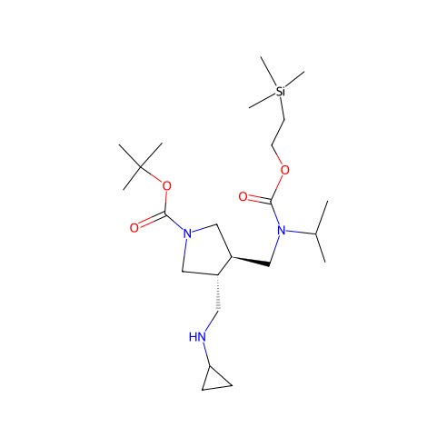 CC(C)N(C[C@@H]1CN(C(=O)OC(C)(C)C)C[C@H]1CNC1CC1)C(=O)OCC[Si](C)(C)C